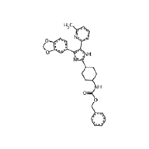 Cc1cccc(-c2[nH]c(C3CCC(NC(=O)OCc4ccccc4)CC3)nc2-c2ccc3c(c2)OCO3)n1